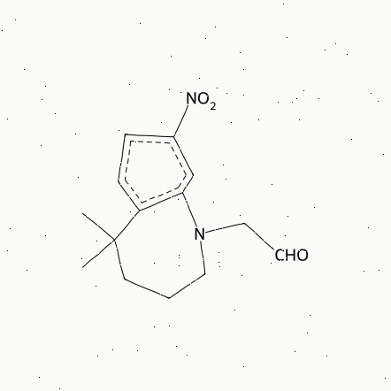 CC1(C)CCCN(CC=O)c2cc([N+](=O)[O-])ccc21